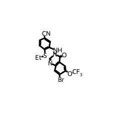 CCSc1ccc(C#N)cc1Nn1cnc2cc(Br)c(OC(F)(F)F)cc2c1=O